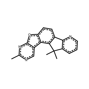 Cc1ncc2c(n1)oc1ccc3c(c12)C(C)(C)c1cccnc1-3